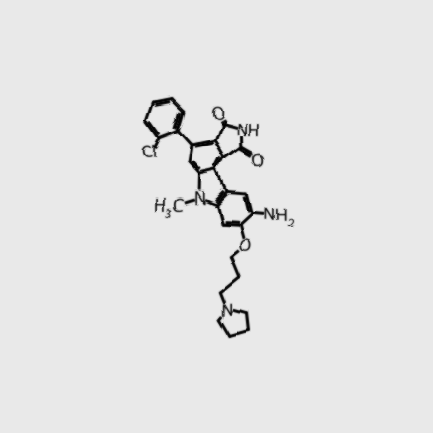 Cn1c2cc(OCCCN3CCCC3)c(N)cc2c2c3c(c(-c4ccccc4Cl)cc21)C(=O)NC3=O